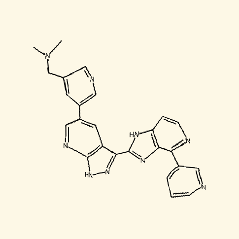 CN(C)Cc1cncc(-c2cnc3[nH]nc(-c4nc5c(-c6cccnc6)nccc5[nH]4)c3c2)c1